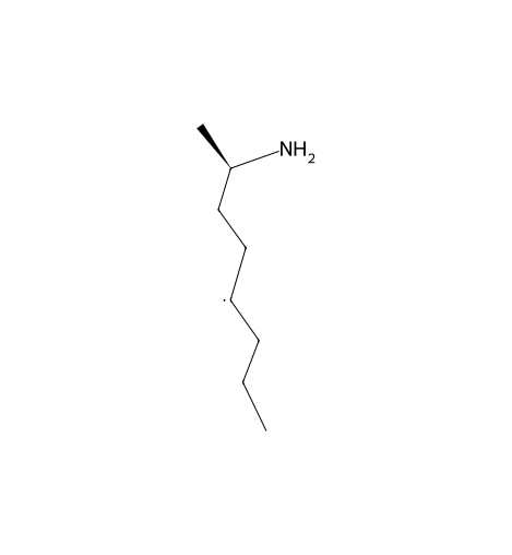 CCC[CH]CC[C@@H](C)N